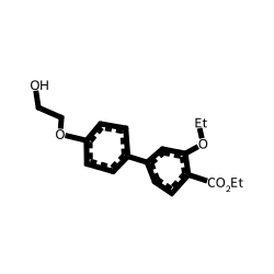 CCOC(=O)c1ccc(-c2ccc(OCCO)cc2)cc1OCC